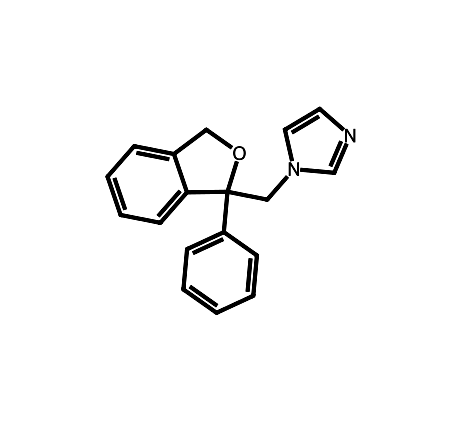 c1ccc(C2(Cn3ccnc3)OCc3ccccc32)cc1